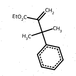 C=C(C(=O)OCC)C(C)(C)c1ccccc1